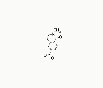 CN1CCc2cc(C(=O)O)ccc2C1=O